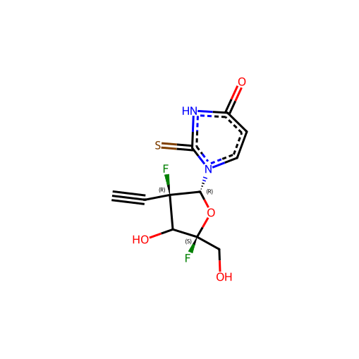 C#C[C@@]1(F)C(O)[C@@](F)(CO)O[C@H]1n1ccc(=O)[nH]c1=S